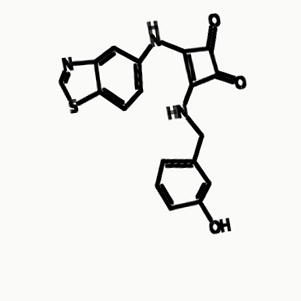 O=c1c(NCc2cccc(O)c2)c(Nc2ccc3scnc3c2)c1=O